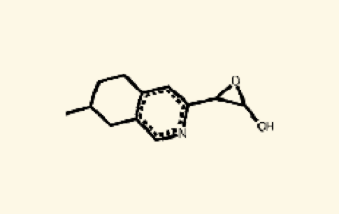 CC1CCc2cc(C3OC3O)ncc2C1